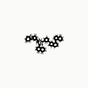 c1cc(-c2ccc3cccc(-c4cccc5ccccc45)c3c2)cc(-c2nc(-c3ccc4sc5ccccc5c4c3)nc(-c3cccc4ccccc34)n2)c1